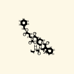 CCNC(=O)Nc1sc2ccccc2c1C(=O)N1CCC2(CC1)CC(=O)N(CCC(=O)OCc1ccccc1)C(=O)O2